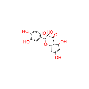 O=C1C2C(=CC(O)=CC2O)OC(c2ccc(O)c(O)c2)C1(O)O